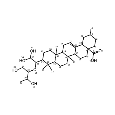 CC1CCC2(C(=O)O)CCC3C(=CCC4C3(C)CCC3C(C)(C)C(C(OC(CO)C(C)O)C(O)O)CCC34C)C2C1